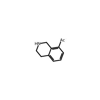 CC(=O)c1cccc2c1CNCC2